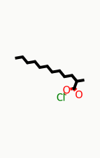 CCCCCCCCCCC(C)C(=O)OCl